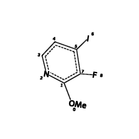 COc1nccc(I)c1F